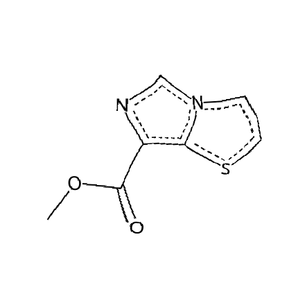 COC(=O)c1ncn2ccsc12